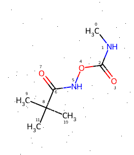 CNC(=O)ONC(=O)C(C)(C)C